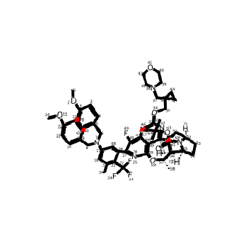 COc1ccc(CN(Cc2ccc(OC)cc2)c2cc(C)c(C(F)(F)F)c(-c3nc4c5c(nc(OCC6(CN7CCOCC7)CC6)nc5c3F)N3C[C@H]5CC[C@@H]([C@H]3[C@H](C)O4)N5C(=O)OC(C)(C)C)c2)cc1